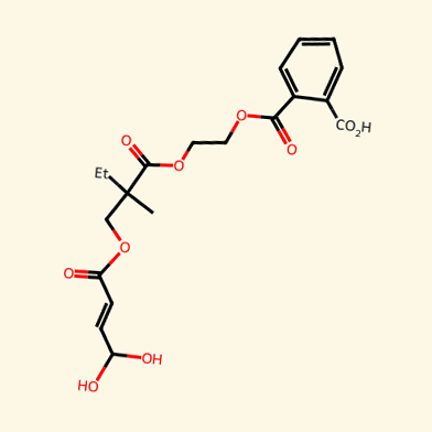 CCC(C)(COC(=O)/C=C/C(O)O)C(=O)OCCOC(=O)c1ccccc1C(=O)O